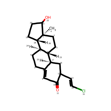 C[C@]12CC[C@H]3[C@@H](CCC4=CC(=O)C(C=CCl)C[C@@H]43)[C@@H]1CCC2O